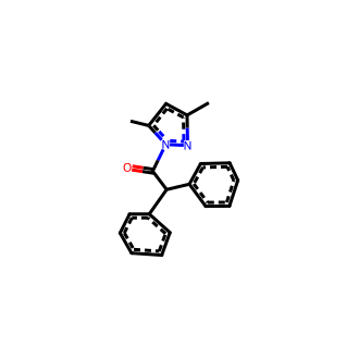 Cc1cc(C)n(C(=O)C(c2ccccc2)c2ccccc2)n1